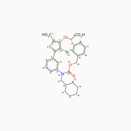 O=C(O)COc1c(C(=O)O)sc(-c2cccc(N(CC3CCCCC3)C(=O)OCc3ccccc3)c2)c1Br